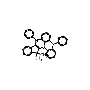 CC1(C)C2=C(c3ccccc31)N(c1ccccc1)c1cccc3c1B2c1ccccc1N3c1ccccc1